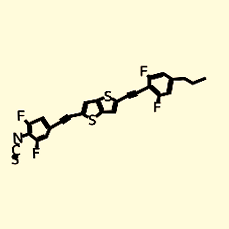 CCCc1cc(F)c(C#Cc2cc3sc(C#Cc4cc(F)c(N=C=S)c(F)c4)cc3s2)c(F)c1